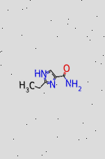 CCc1nc(C(N)=O)c[nH]1